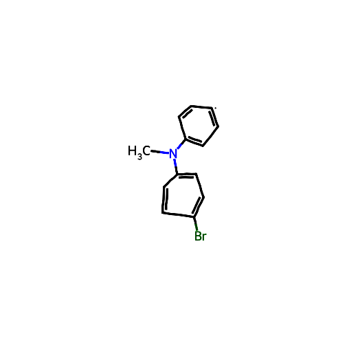 CN(c1cc[c]cc1)c1ccc(Br)cc1